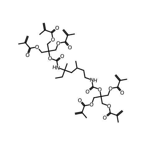 C=C(C)C(=O)OCC(COC(=O)C(=C)C)(COC(=O)C(=C)C)OC(=O)NCCC(C)CC(C)(CC)NC(=O)OC(COC(=O)C(=C)C)(COC(=O)C(=C)C)COC(=O)C(=C)C